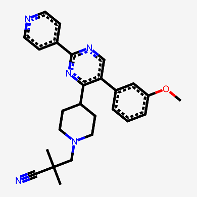 COc1cccc(-c2cnc(-c3ccncc3)nc2C2CCN(CC(C)(C)C#N)CC2)c1